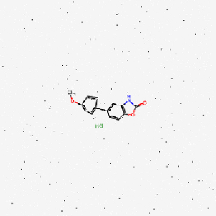 Cl.O=c1[nH]c2cc(-c3ccc(OC(F)(F)F)cc3)ccc2o1